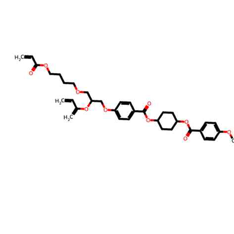 C=CC(=C)OC(COCCCCOC(=O)C=C)COc1ccc(C(=O)OC2CCC(OC(=O)c3ccc(OC)cc3)CC2)cc1